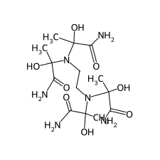 CC(O)(C(N)=O)N(CCN(C(C)(O)C(N)=O)C(C)(O)C(N)=O)C(C)(O)C(N)=O